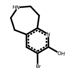 Oc1nc2c(cc1Br)CCNCC2